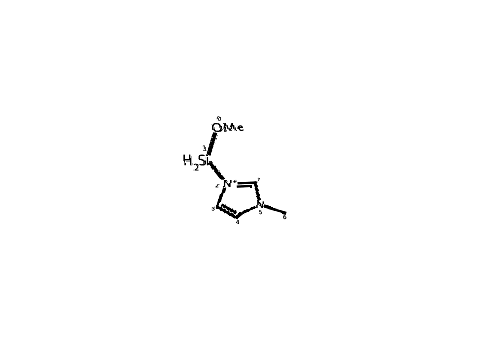 CO[SiH2][n+]1ccn(C)c1